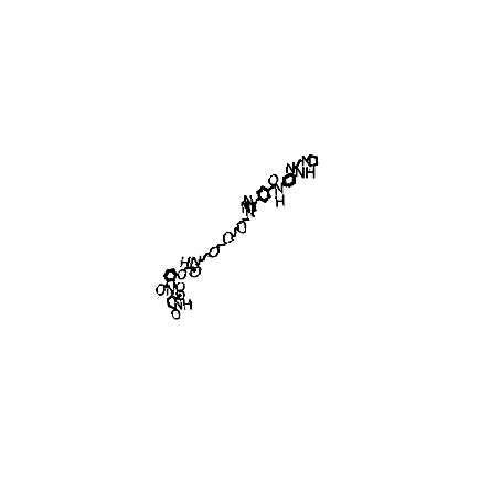 C[C@H]1CCCN1Cc1nc2cc(NC(=O)c3ccc(-c4cn(CCOCCOCCOCCNC(=O)COc5cccc6c5C(=O)N(C5CCC(=O)NC5=O)C6=O)nn4)cc3)ccc2[nH]1